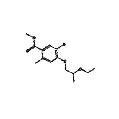 CCOC(C)COc1cc(C)c(C(=O)OC)cc1Br